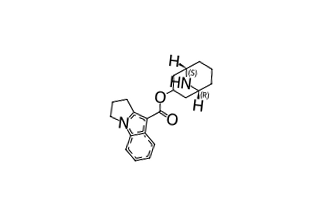 O=C(OC1C[C@H]2CCC[C@@H](C1)N2)c1c2n(c3ccccc13)CCC2